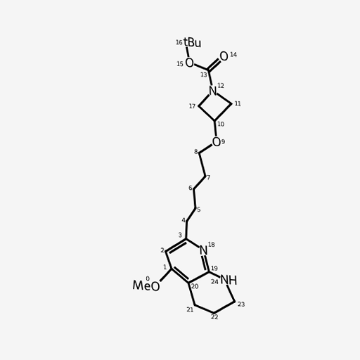 COc1cc(CCCCCOC2CN(C(=O)OC(C)(C)C)C2)nc2c1CCCN2